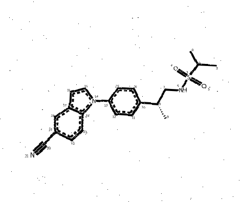 CC(C)S(=O)(=O)NC[C@H](C)c1ccc(-n2ccc3cc(C#N)ccc32)cc1